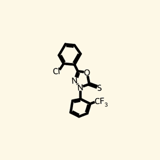 FC(F)(F)c1ccccc1-n1nc(-c2ccccc2Cl)oc1=S